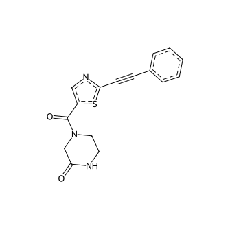 O=C1CN(C(=O)c2cnc(C#Cc3ccccc3)s2)CCN1